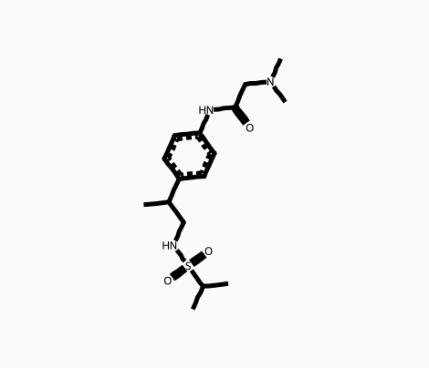 CC(CNS(=O)(=O)C(C)C)c1ccc(NC(=O)CN(C)C)cc1